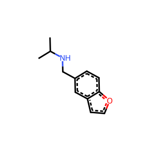 CC(C)NCc1ccc2occc2c1